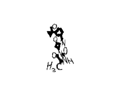 C[C@@H]1NC(=O)N(C2CC(Oc3c(C#N)ccc4c3C3(CC3)CO4)C2)C1=O